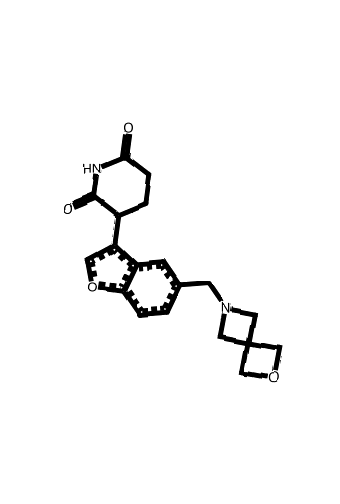 O=C1CCC(c2coc3ccc(CN4CC5(COC5)C4)cc23)C(=O)N1